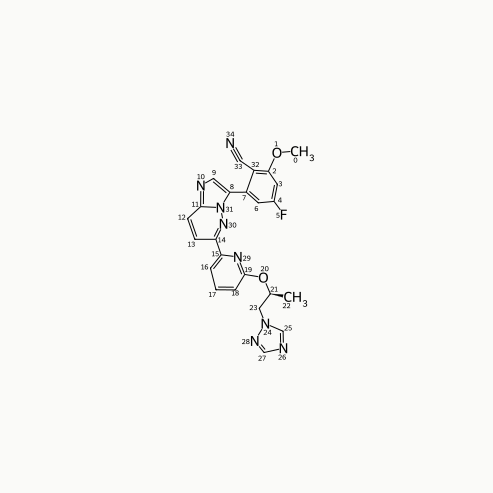 COc1cc(F)cc(-c2cnc3ccc(-c4cccc(O[C@@H](C)Cn5cncn5)n4)nn23)c1C#N